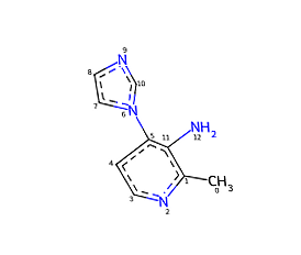 Cc1nccc(-n2ccnc2)c1N